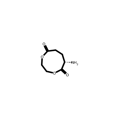 N[C@H]1CCC(=O)OCCOC1=O